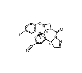 C[C@H]1[C@@H](Oc2ccc(F)cc2)CN1C(=O)N1N=CC[C@H]1c1cncc(C#N)c1